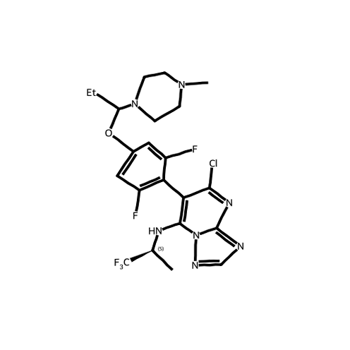 CCC(Oc1cc(F)c(-c2c(Cl)nc3ncnn3c2N[C@@H](C)C(F)(F)F)c(F)c1)N1CCN(C)CC1